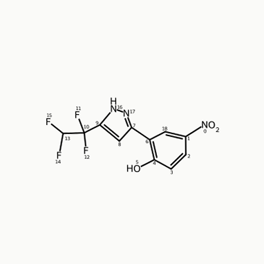 O=[N+]([O-])c1ccc(O)c(-c2cc(C(F)(F)C(F)F)[nH]n2)c1